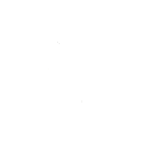 COC(=O)c1cc(Cl)ccc1-c1ccnc(C)c1F